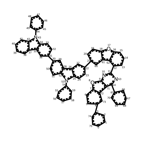 c1ccc(-c2ccc3oc4nc(-c5cccc6oc7ccc(-c8ccc9c(c8)c8cc(-c%10ccc%11c(c%10)c%10ccccc%10n%11-c%10ccccc%10)ccc8n9-c8ccccc8)cc7c56)nc(-c5ccccc5)c4c3c2)cc1